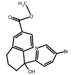 COC(=O)c1ccc2c(c1)CCCC2(O)c1ccc(Br)cn1